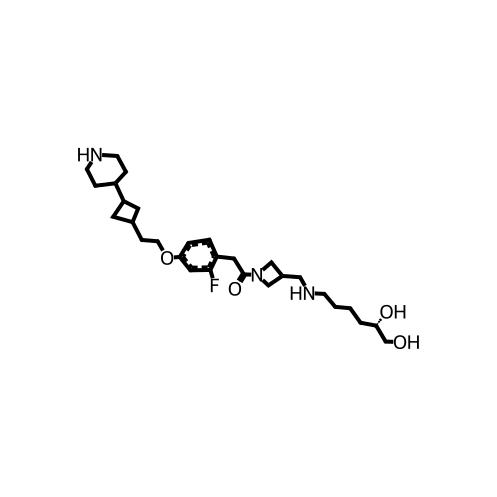 O=C(Cc1ccc(OCCC2CC(C3CCNCC3)C2)cc1F)N1CC(CNCCCC[C@H](O)CO)C1